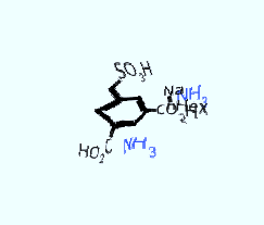 N.N.O=C(O)c1cc(CS(=O)(=O)O)cc(C(=O)O)c1.[CH2]CCCC[CH2][Na]